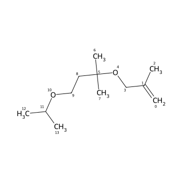 C=C(C)COC(C)(C)CCOC(C)C